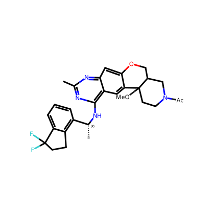 COC12CCN(C(C)=O)CC1COc1cc3nc(C)nc(N[C@H](C)c4cccc5c4CCC5(F)F)c3cc12